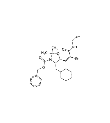 CC/C(=C/[C@@H]1OC(C)(C)N(C(=O)OCc2ccccc2)[C@H]1CC1CCCCC1)C(=O)NCC(C)C